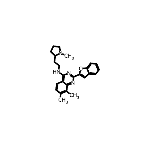 Cc1ccc2c(NCCC3CCCN3C)nc(-c3cc4ccccc4o3)nc2c1C